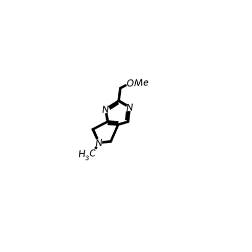 COCc1ncc2c(n1)CN(C)C2